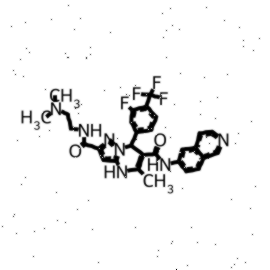 CC1=C(C(=O)Nc2ccc3cnccc3c2)C(c2ccc(C(F)(F)F)c(F)c2)n2nc(C(=O)NCCN(C)C)cc2N1